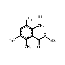 CCCCPC(=O)c1c(C)c(C)cc(C)c1C.[LiH]